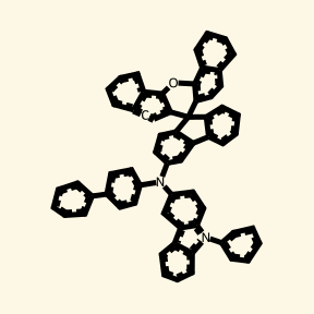 c1ccc(-c2ccc(N(c3ccc4c(c3)-c3ccccc3C43c4ccc5ccccc5c4Oc4c3ccc3ccccc43)c3ccc4c(c3)c3ccccc3n4-c3ccccc3)cc2)cc1